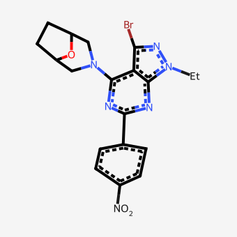 CCn1nc(Br)c2c(N3CC4CCC(C3)O4)nc(-c3ccc([N+](=O)[O-])cc3)nc21